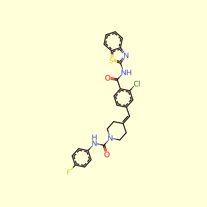 O=C(Nc1nc2ccccc2s1)c1ccc(C=C2CCN(C(=O)Nc3ccc(F)cc3)CC2)cc1Cl